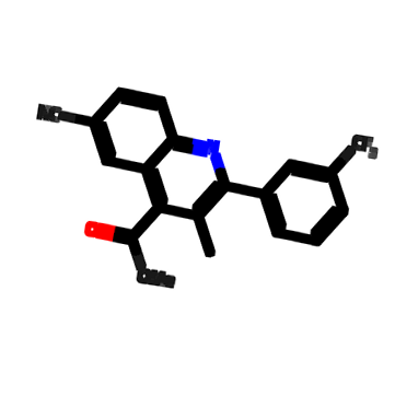 COC(=O)c1c(C)c(-c2cccc(C(F)(F)F)c2)nc2ccc(C#N)cc12